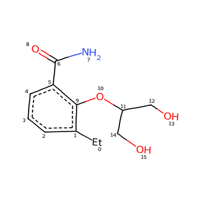 CCc1cccc(C(N)=O)c1OC(CO)CO